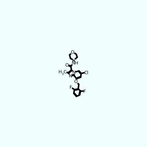 Cc1nc2c(OCc3c(F)cccc3F)cc(Cl)cn2c1C(=O)NN1CCOCC1